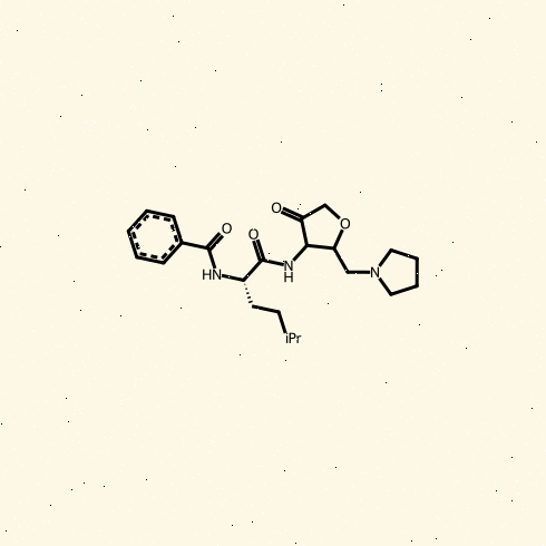 CC(C)CC[C@H](NC(=O)c1ccccc1)C(=O)NC1C(=O)COC1CN1CCCC1